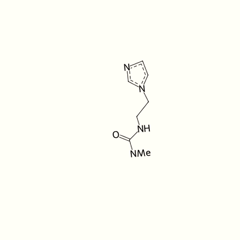 CNC(=O)NCCn1ccnc1